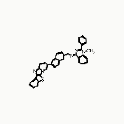 C=N/C(=N\C(=N/Cc1ccc2cc(-c3ccc4nc5c6ccccc6sc5n4c3)ccc2c1)c1ccccc1)c1ccccc1